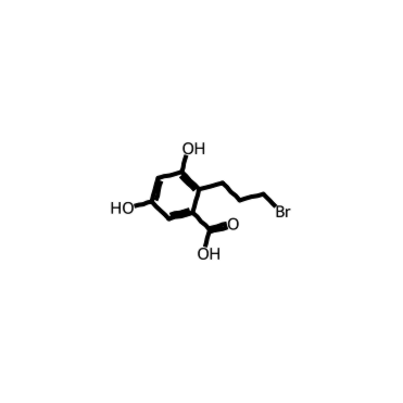 O=C(O)c1cc(O)cc(O)c1CCCBr